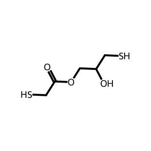 O=C(CS)OCC(O)CS